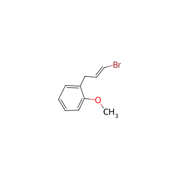 COc1ccccc1CC=CBr